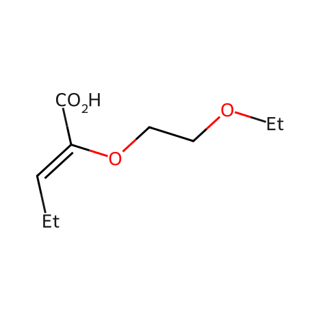 CCC=C(OCCOCC)C(=O)O